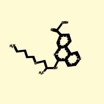 COC(=O)c1ccc2c(c1)nc(NC(C)COCCCCN)c1ccncc12